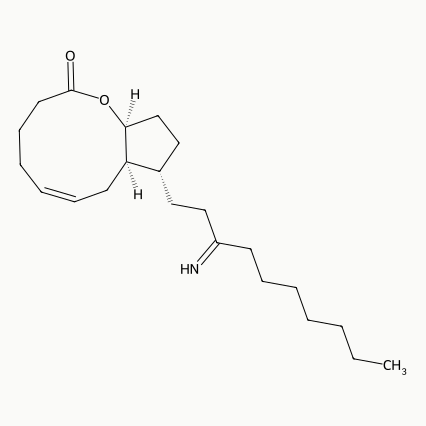 CCCCCCCC(=N)CC[C@H]1CC[C@@H]2OC(=O)CCC/C=C\C[C@H]12